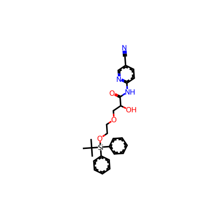 CC(C)(C)[Si](OCCOCC(O)C(=O)Nc1ccc(C#N)cn1)(c1ccccc1)c1ccccc1